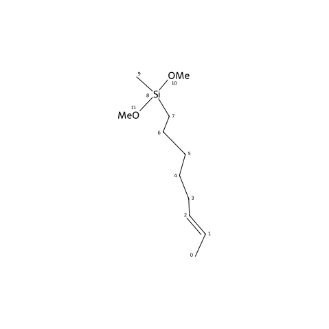 CC=CCCCCC[Si](C)(OC)OC